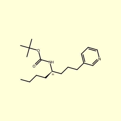 CCCC[C@H](CCCc1cccnc1)NC(=O)OC(C)(C)C